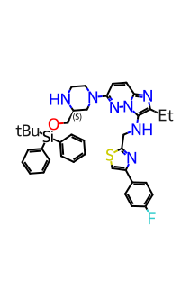 CCc1nc2ccc(N3CCN[C@H](CO[Si](c4ccccc4)(c4ccccc4)C(C)(C)C)C3)nn2c1NCc1nc(-c2ccc(F)cc2)cs1